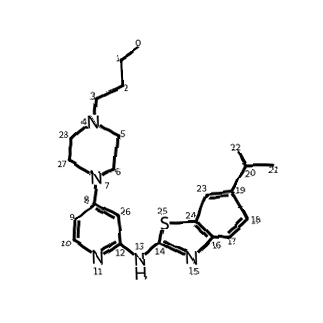 CCCCN1CCN(c2ccnc(Nc3nc4ccc(C(C)C)cc4s3)c2)CC1